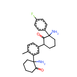 Cc1ccc(C2CCCC(N)(c3ccc(F)cc3)C2=O)cc1C1(N)CCCCC1=O